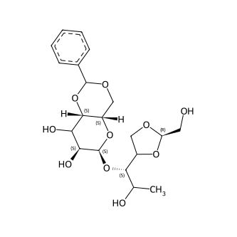 CC(O)[C@H](O[C@@H]1O[C@H]2COC(c3ccccc3)O[C@H]2C(O)[C@@H]1O)C1CO[C@@H](CO)O1